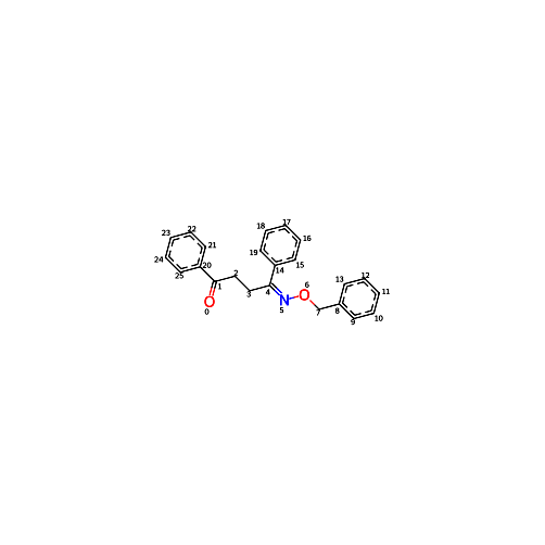 O=C(CCC(=NOCc1ccccc1)c1ccccc1)c1ccccc1